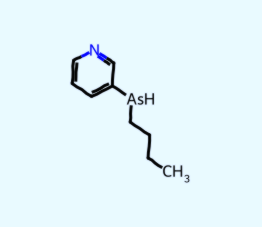 CCCC[AsH]c1cccnc1